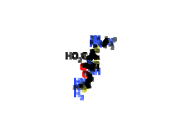 CN(C)CCn1nnnc1SCC1=C(C(=O)O)N2C(=O)[C@@H](NC(=O)CC3=CSC(N)N3)[C@H]2SC1